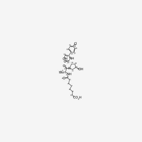 CC(C)(C)C(NC(=O)CCCCCCC(=O)O)C(=O)N1C[C@H](O)C[C@H]1C(=O)N[C@@H](CO)c1ccc(Cl)cc1